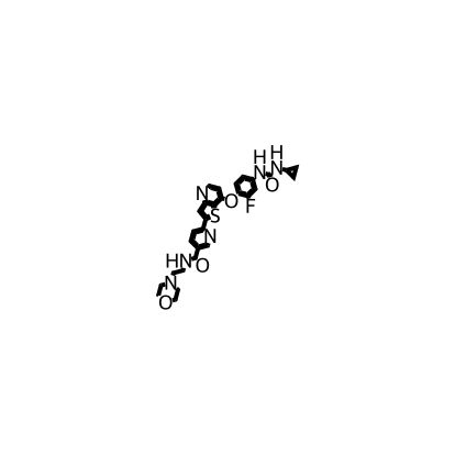 O=C(Nc1ccc(Oc2ccnc3cc(-c4ccc(C(=O)NCCN5CCOCC5)cn4)sc23)c(F)c1)NC1CC1